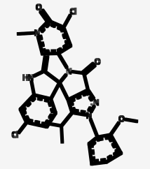 COc1ccccc1-n1nc2c(c1C(C)C)C1(C(=O)Nc3cc(Cl)ccc31)N(c1cc(Cl)c(=O)n(C)c1)C2=O